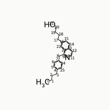 CCCCc1ccc(Cc2nccc3ccc(CCCCO)cc23)cc1